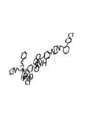 O=C(NS(=O)(=O)c1ccc(N[C@H](CCN2CCCC2)CSc2ccccc2)c(S(=O)(=O)C(F)(F)Cl)c1)c1ccc(N2CCN(CC3=C(c4ccc(Cl)cc4)CCCC3)CC2)cc1